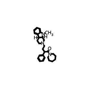 CN1c2ccccc2[C@H]2CCN(CCC(C(=O)N3CCCCCC3)c3ccccc3)C[C@@H]21